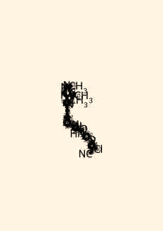 Cc1sc2c(c1C)C(c1ccc(C#CC3CC4(CCCN(c5ccc(C(=O)N[C@H]6CC[C@H](Oc7ccc(CC#N)c(Cl)c7)CC6)nn5)C4)C3)nc1)=NCc1nnc(C)n1-2